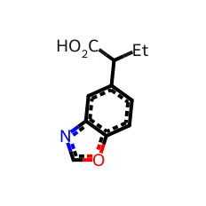 CCC(C(=O)O)c1ccc2ocnc2c1